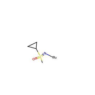 CC(C)(C)N=S(C)(=O)C1CC1